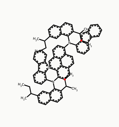 CCC(C)c1ccc2ccc(C(C)CC)c(N(c3ccc4ccc5c(N(c6c(C(C)CC)ccc7ccc(C(C)CC)cc67)c6cccc7c6oc6ccccc67)ccc6ccc3c4c65)c3cccc4c3oc3ccccc34)c2c1